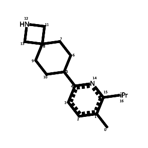 Cc1ccc(C2CCC3(CC2)CNC3)nc1C(C)C